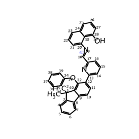 CC1(C)c2ccccc2-c2ccc(-c3cccc(/C=N/c4cccc5cccc(O)c45)n3)c(Oc3ccccc3)c21